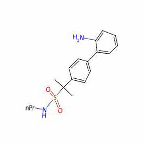 CCCNS(=O)(=O)C(C)(C)c1ccc(-c2ccccc2N)cc1